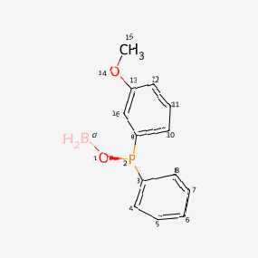 BO[P@](c1ccccc1)c1cccc(OC)c1